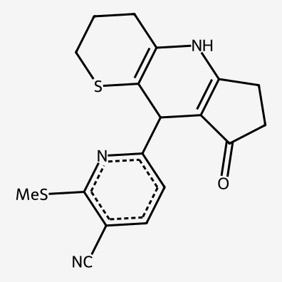 CSc1nc(C2C3=C(CCCS3)NC3=C2C(=O)CC3)ccc1C#N